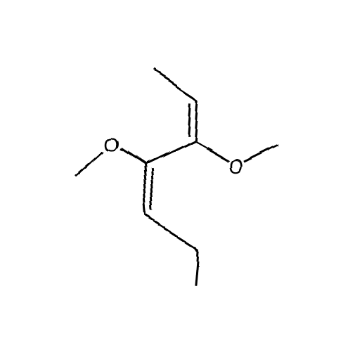 C/C=C(OC)\C(=C/CC)OC